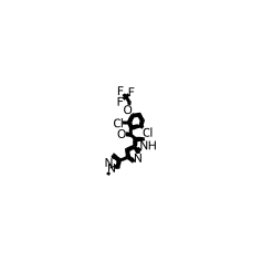 Cn1cc(-c2cnc3[nH]cc(C(=O)c4c(Cl)ccc(OCC(F)(F)F)c4Cl)c3c2)cn1